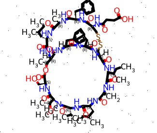 C=C1NC(=O)[C@H]([C@@H](C)CC)NC(=O)[C@@H]2CSSC[C@H](NC(=O)CCC(=O)O)C(=O)N[C@H](Cc3ccccc3)C(=O)N[C@H](C)C(=O)N[C@@H](C[C@@H](C)CC)C(=O)N[C@@H](C(=O)N[C@H](Cc3ccccc3)C(=O)N3CCC[C@@H]3C(=O)N2)[C@@H](C)OC(=O)[C@H](CO)NC(=O)[C@H]([C@@H](C)OC)N(C)C(=O)[C@@H](C(C)C)NC(=O)[C@H](C[C@H](C)CC)NC1=O